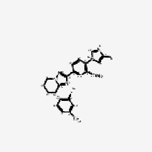 COc1nc(-c2nc3n(n2)CCC[C@H]3c2ccc(C(F)(F)F)cc2F)ccc1-n1cnc(C)c1